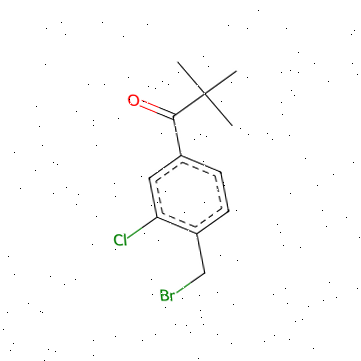 CC(C)(C)C(=O)c1ccc(CBr)c(Cl)c1